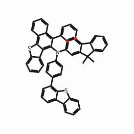 CC1(C)c2ccccc2-c2ccc(N(c3ccc(-c4cccc5c4sc4ccccc45)cc3)c3c(-c4ccccc4)c4ccccc4c4sc5ccccc5c34)cc21